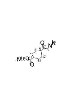 COC(=O)C1CCC(C(=O)C[N+]#N)CC1